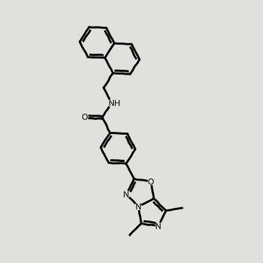 Cc1nc(C)n2nc(-c3ccc(C(=O)NCc4cccc5ccccc45)cc3)oc12